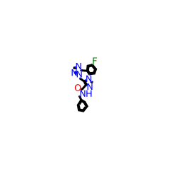 O=C(NCc1ccccc1)c1ncn2c1Cn1ncnc1-c1cc(F)ccc1-2